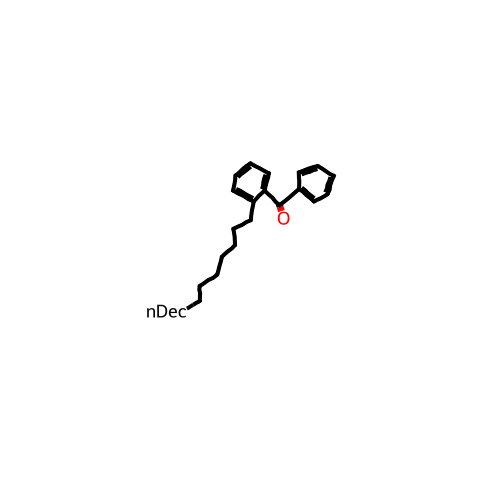 CCCCCCCCCCCCCCCCCc1ccccc1C(=O)c1ccccc1